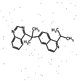 CC(C)c1nccc2cc(C(C)(C)c3ncnc4ccccc34)ccc12